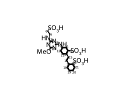 COc1nc(NCCS(=O)(=O)O)nc(Nc2ccc(C=Cc3ccccc3S(=O)(=O)O)c(S(=O)(=O)O)c2)n1